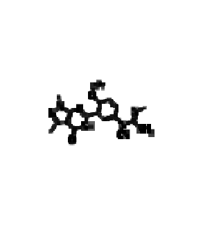 CCCOc1ccc(N(C#N)C(N)=NC)cc1-c1nc2c(c(C)nn2C)c(=O)[nH]1